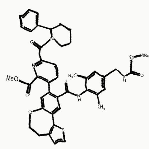 COC(=O)c1nc(C(=O)N2CCCCC2c2ccccc2)ccc1-c1cc2c(cc1C(=O)Nc1c(C)cc(CNC(=O)OC(C)(C)C)cc1C)-c1sccc1CCO2